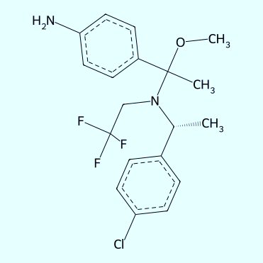 COC(C)(c1ccc(N)cc1)N(CC(F)(F)F)[C@H](C)c1ccc(Cl)cc1